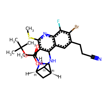 CSc1nc2c(F)c(Br)c(CCC#N)cc2c(N[C@H]2[C@@H]3C[C@H]2N(C(=O)OC(C)(C)C)C3)c1C(C)O